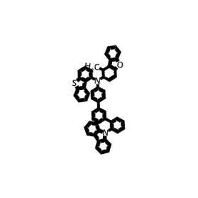 CC1c2c(oc3ccccc23)C=CC1N(c1ccc(-c2cccc(-c3ccccc3-n3c4ccccc4c4ccccc43)c2)cc1)c1cccc2sc3ccccc3c12